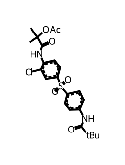 CC(=O)OC(C)(C)C(=O)Nc1ccc(S(=O)(=O)c2ccc(NC(=O)C(C)(C)C)cc2)cc1Cl